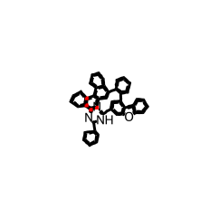 c1ccc(C2=NC(c3ccccc3)NC(c3cc(-c4ccccc4-c4cc5ccccc5c5ccccc45)c4c(c3)oc3ccccc34)=N2)cc1